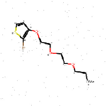 COCCOCCOCCOc1ccsc1Br